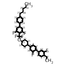 C=Cc1ccc(-c2ccc(C3CCC(OC(F)(F)c4c(F)cc(-c5ccc(CCCCC)cc5)cc4F)CC3)cc2F)cc1F